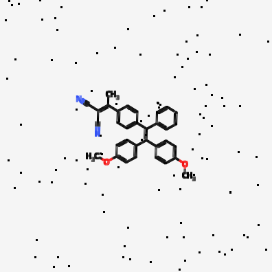 COc1ccc(C(=C(c2ccccc2)c2ccc(C(C)=C(C#N)C#N)cc2)c2ccc(OC)cc2)cc1